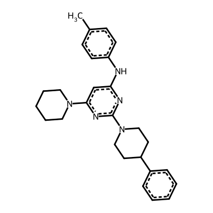 Cc1ccc(Nc2cc(N3CCCCC3)nc(N3CCC(c4ccccc4)CC3)n2)cc1